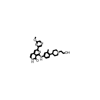 COc1cncc(-c2cc3cc[nH]c(=O)c3c(Nc3ccc(C4CCN(CCO)CC4)c(C)c3)n2)n1